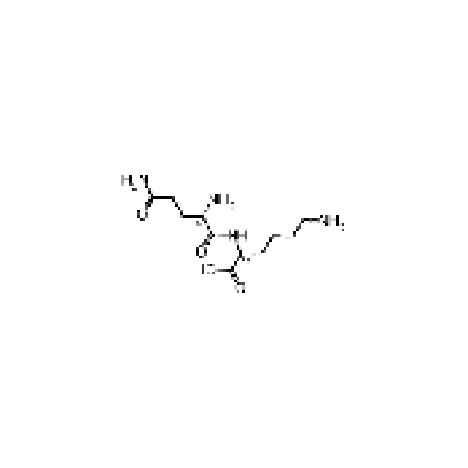 NCCCC[C@@H](NC(=O)[C@@H](N)CCC(N)=O)C(=O)O